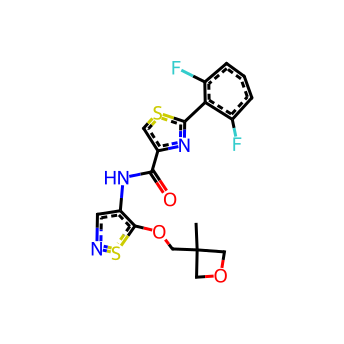 CC1(COc2sncc2NC(=O)c2csc(-c3c(F)cccc3F)n2)COC1